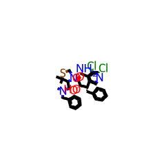 CN(Cc1ccccc1)C(=O)C1N(C(=O)[C@@H](O)[C@@H](Cc2ccccc2)c2cnc(Cl)c(Cl)c2C(N)=O)CSC1(C)C